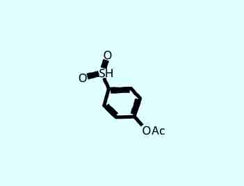 CC(=O)Oc1ccc([SH](=O)=O)cc1